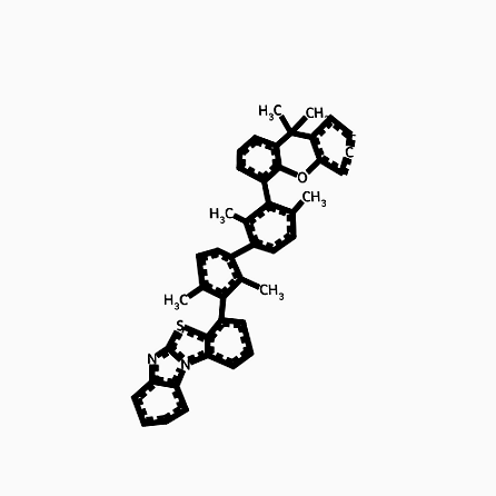 Cc1ccc(-c2ccc(C)c(-c3cccc4c3sc3nc5ccccc5n34)c2C)c(C)c1-c1cccc2c1Oc1ccccc1C2(C)C